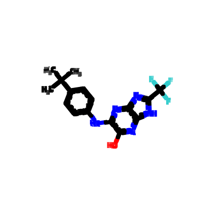 CC(C)(C)c1ccc(Nc2nc3nc(C(F)(F)F)[nH]c3nc2O)cc1